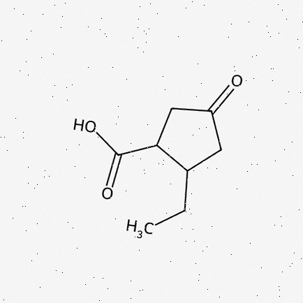 CCC1CC(=O)CC1C(=O)O